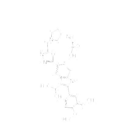 COc1ccc(-c2[nH]c3ccc(-c4nnc(CN5CC[C@H](NC6OC6C)C5)o4)cc3c2C(C)C)cc1OC